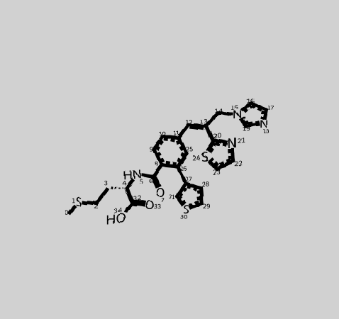 CSCC[C@H](NC(=O)c1ccc(C=C(Cn2ccnc2)c2nccs2)cc1-c1ccsc1)C(=O)O